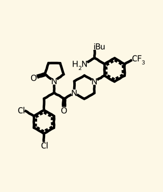 CCC(C)C(N)c1cc(C(F)(F)F)ccc1N1CCN(C(=O)C(Cc2ccc(Cl)cc2Cl)N2CCCC2=O)CC1